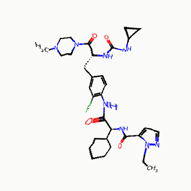 CCn1nccc1C(=O)N[C@H](C(=O)Nc1ccc(C[C@@H](NC(=O)NC2CC2)C(=O)N2CCN(C)CC2)cc1F)C1CCCCC1